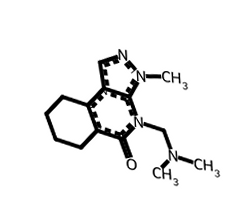 CN(C)Cn1c(=O)c2c(c3cnn(C)c31)CCCC2